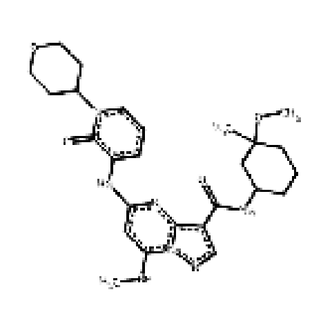 CNc1cc(Nc2cccn(C3CCOCC3)c2=O)nc2c(C(=O)NC3CCCC(C)(OC)C3)cnn12